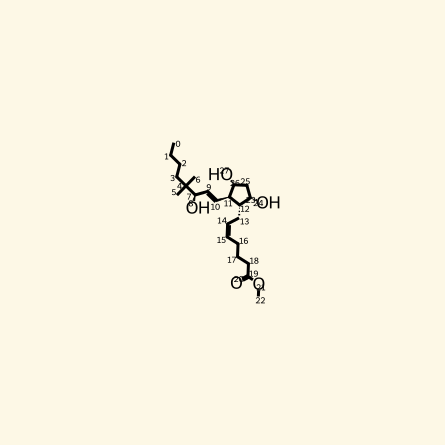 CCCCC(C)(C)[C@H](O)/C=C/[C@@H]1[C@@H](C/C=C\CCCC(=O)OC)[C@@H](O)C[C@H]1O